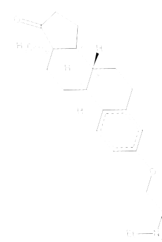 CCN(CC)CCOc1ccc2c(c1)CC[C@@H]1[C@@H]2CC[C@@]2(C)C(=O)CC[C@@H]12